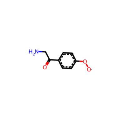 NCC(=O)c1c[c]c(O[O])cc1